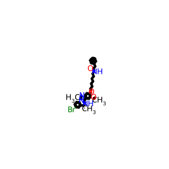 COc1cc2c(N[C@H](C)c3cccc(Br)c3)nc(C)nc2cc1OCCCCCCCNC(=O)CC12CCC(CC1)CC2